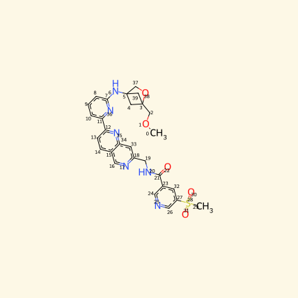 COCC12CC(Nc3cccc(-c4ccc5cnc(CNC(=O)c6cncc(S(C)(=O)=O)c6)cc5n4)n3)(CO1)C2